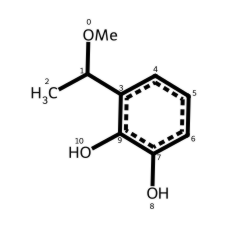 COC(C)c1cccc(O)c1O